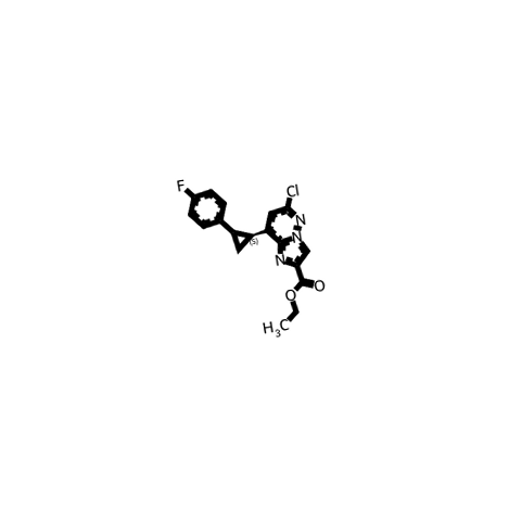 CCOC(=O)c1cn2nc(Cl)cc([C@H]3CC3c3ccc(F)cc3)c2n1